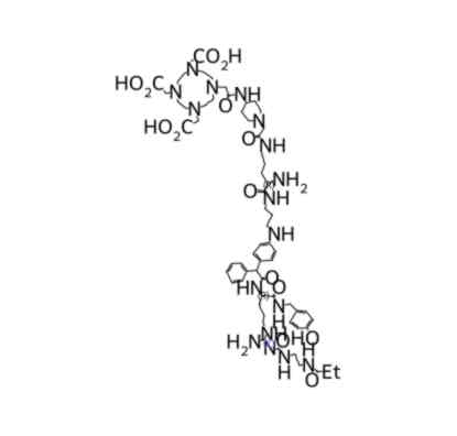 CCC(=O)NCCNC(=O)/N=C(/N)NCCC[C@@H](NC(=O)C(c1ccccc1)c1ccc(NCCCNC(=O)[C@H](N)CCCNC(=O)CN2CCC(NC(=O)CN3CCN(CC(=O)O)CCN(CC(=O)O)CCN(CC(=O)O)CC3)CC2)cc1)C(=O)NCc1ccc(O)cc1